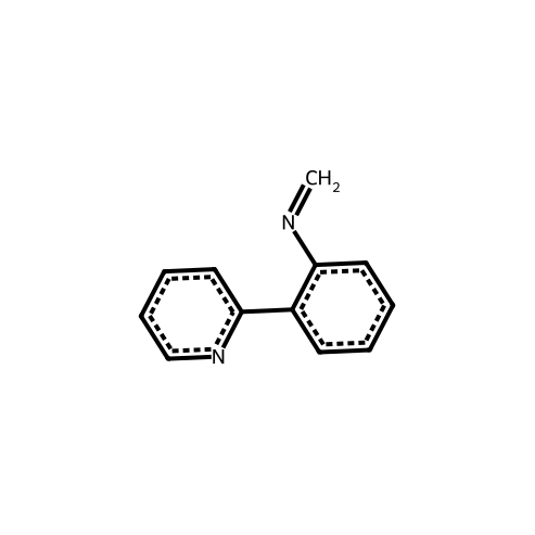 C=Nc1ccccc1-c1ccccn1